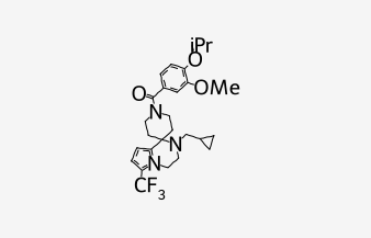 COc1cc(C(=O)N2CCC3(CC2)c2ccc(C(F)(F)F)n2CCN3CC2CC2)ccc1OC(C)C